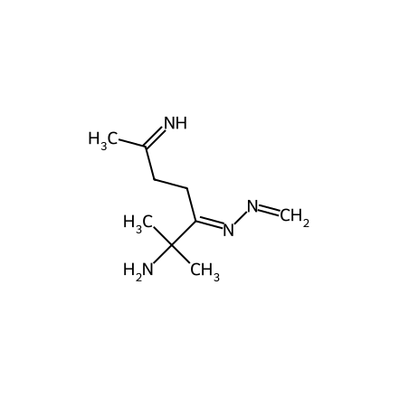 C=N/N=C(\CCC(C)=N)C(C)(C)N